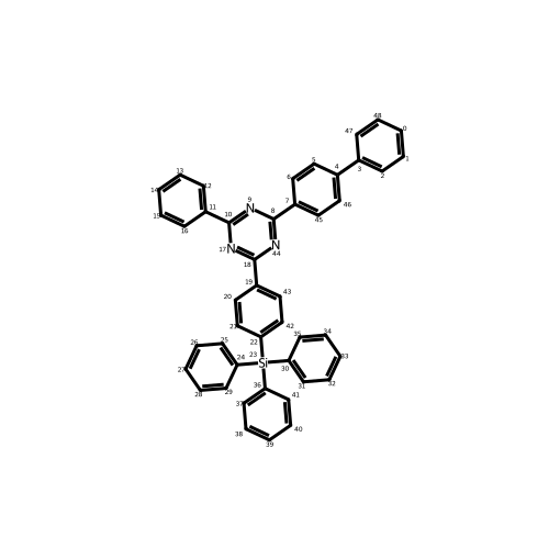 c1ccc(-c2ccc(-c3nc(-c4ccccc4)nc(-c4ccc([Si](c5ccccc5)(c5ccccc5)c5ccccc5)cc4)n3)cc2)cc1